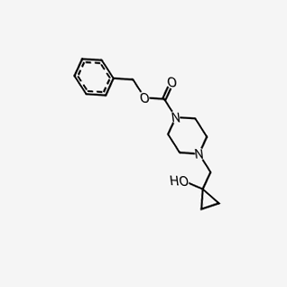 O=C(OCc1ccccc1)N1CCN(CC2(O)CC2)CC1